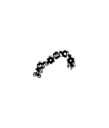 O=[N+]([O-])c1cn2c(n1)OC(COc1ccc(N3CCN(CC4CCN(Cc5ccc(C(F)(F)F)cc5)CC4)CC3)cc1)CC2